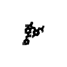 O=c1[nH]c2cnc(NC[C@@H]3CCNC3)nc2n1Cc1cc(F)ccc1OC(F)F